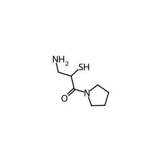 NCC(S)C(=O)N1CCCC1